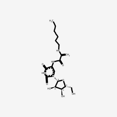 C=C(NCCCCCC)C(=O)Nc1cn([C@@H]2O[C@H](CO)[C@@H](O)[C@H]2O)c(=O)[nH]c1=O